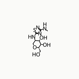 CNc1nsc(N[C@@H]2CO[C@H](CO)[C@H](O)[C@@H]2O)n1